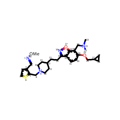 CON=Cc1ccsc1CN1CCC(CCc2noc3c(CN(C)C)c(OCC4CC4)ccc23)CC1